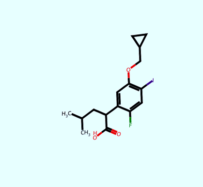 CC(C)CC(C(=O)O)c1cc(OCC2CC2)c(I)cc1F